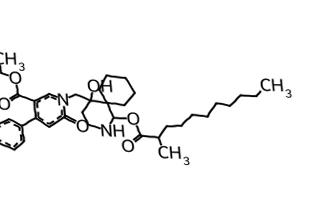 CCCCCCCCCC(C)C(=O)OC1NCCC(O)(Cn2cc(C(=O)OCC)c(-c3ccccc3)cc2=O)C12CCCCC2